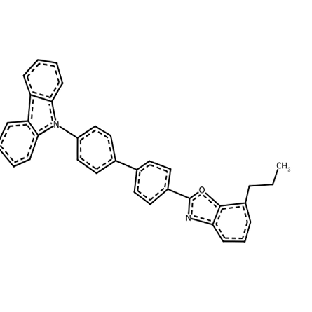 CCCc1cccc2nc(-c3ccc(-c4ccc(-n5c6ccccc6c6ccccc65)cc4)cc3)oc12